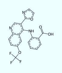 O=C(O)c1ccccc1Nc1c(-c2ncco2)cnc2ccc(OC(F)(F)F)cc12